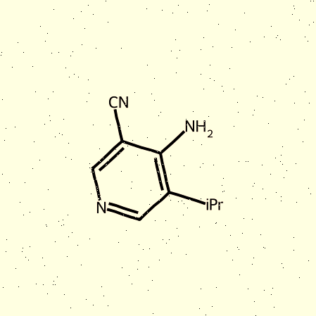 CC(C)c1cncc(C#N)c1N